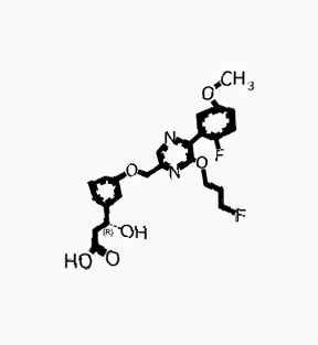 COc1ccc(F)c(-c2ncc(COc3cccc([C@H](O)CC(=O)O)c3)nc2OCCCF)c1